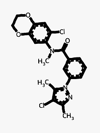 Cc1nn(-c2cccc(C(=O)N(C)c3cc4c(cc3Cl)OCCO4)c2)c(C)c1Cl